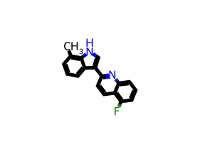 Cc1cccc2c(-c3ccc4c(F)cccc4n3)c[nH]c12